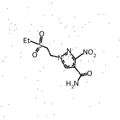 CCS(=O)(=O)CCn1cc(C(N)=O)c([N+](=O)[O-])n1